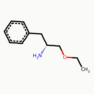 CCOC[C@H](N)Cc1ccccc1